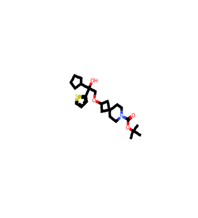 CC(C)(C)OC(=O)N1CCC2(CC1)CC(OCC(O)(c1cccs1)C1CCCC1)C2